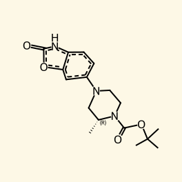 C[C@@H]1CN(c2ccc3[nH]c(=O)oc3c2)CCN1C(=O)OC(C)(C)C